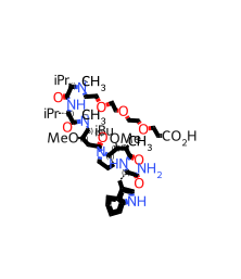 CC[C@H](C)[C@@H]([C@@H](CC(=O)N1CCC[C@H]1[C@H](OC)[C@@H](C)C(=O)N[C@@H](Cc1c[nH]c2ccccc12)C(N)=O)OC)N(C)C(=O)[C@@H](NC(=O)[C@H](C(C)C)N(C)CCOCCOCCOCCC(=O)O)C(C)C